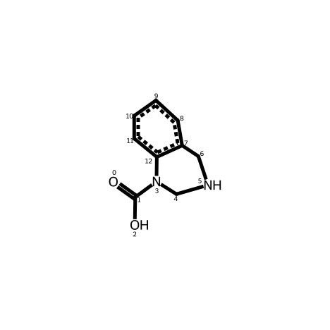 O=C(O)N1CNCc2ccccc21